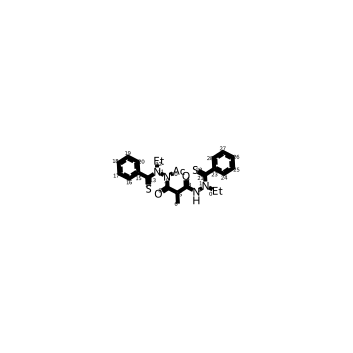 CCN(NC(=O)C(C)C(=O)N(C(C)=O)N(CC)C(=S)c1ccccc1)C(=S)c1ccccc1